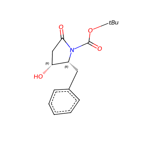 CC(C)(C)OC(=O)N1C(=O)C[C@@H](O)[C@H]1Cc1ccccc1